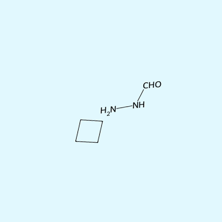 C1CCC1.NNC=O